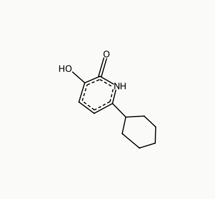 O=c1[nH]c(C2CCCCC2)ccc1O